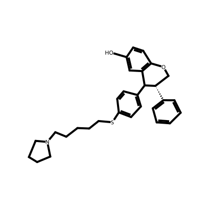 Oc1ccc2c(c1)C(c1ccc(SCCCCCN3CCCC3)cc1)[C@@H](c1ccccc1)CO2